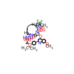 COc1ccc2c(O[C@@H]3C[C@H]4C(=O)N[C@]5(C(=O)NS(=O)(=O)C6CC6)C[C@H]5C=CCCCC[C@@H](C)[C@H](N(C(=O)O)C(C)(C)C(F)F)C(=O)N4C3)cc(-c3ccc(OC(C)C)cc3)nc2c1